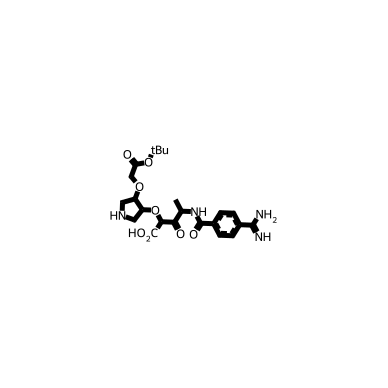 CC(NC(=O)c1ccc(C(=N)N)cc1)C(=O)C(OC1CNCC1OCC(=O)OC(C)(C)C)C(=O)O